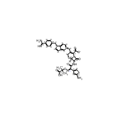 CC(C)(O/N=C(\C(=O)N[C@@H]1C(=O)N2C(C(=O)[O-])=C(C[n+]3ccc4c(ccn4Cc4ccc(C(=N)N)cc4)c3)CS[C@H]12)c1csc(N)n1)C(=O)O